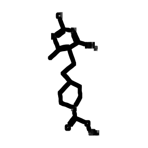 Cc1nc(Cl)nc(N)c1CCC1CCN(C(=O)OC(C)(C)C)CC1